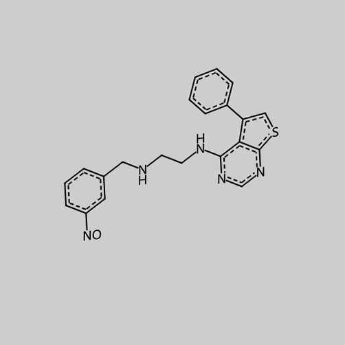 O=Nc1cccc(CNCCNc2ncnc3scc(-c4ccccc4)c23)c1